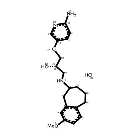 COc1ccc2c(c1)CC(NC[C@H](O)COc1ccc(N)nc1)CCC2.Cl